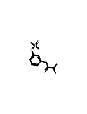 CC(C)C(=O)Cc1cccc(OP(C)(C)=O)c1